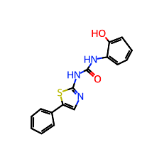 O=C(Nc1ncc(-c2ccccc2)s1)Nc1ccccc1O